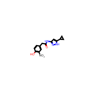 O=C(Cc1ccc(O)c([N+](=O)[O-])c1)Nc1cc(C2CC2)[nH]n1